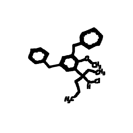 CCCC(CC)(PCl)c1cc(Cc2ccccc2)cc(Cc2ccccc2)c1OC